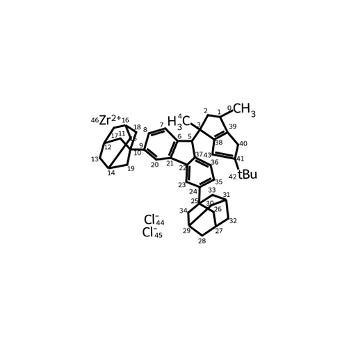 CC1CC(C)(C2c3ccc(C45CC6CC(CC(C6)C4)C5)cc3-c3cc(C45CC6CC(CC(C6)C4)C5)ccc32)C2=C1CC(C(C)(C)C)=C2.[Cl-].[Cl-].[Zr+2]